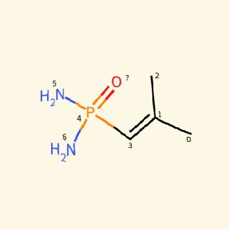 CC(C)=CP(N)(N)=O